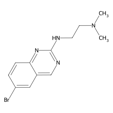 CN(C)CCNc1ncc2cc(Br)ccc2n1